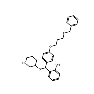 Oc1ccccc1C(OC1CCCNC1)c1ccc(OCCCOCc2ccccc2)cc1